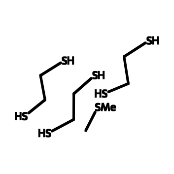 CSC.SCCS.SCCS.SCCS